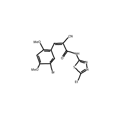 CCc1nnc(NC(=O)C(C#N)=Cc2cc(Br)c(OC)cc2OC)s1